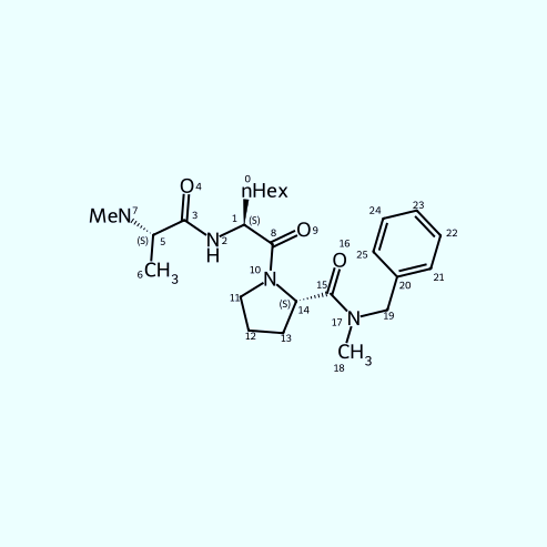 CCCCCC[C@H](NC(=O)[C@H](C)NC)C(=O)N1CCC[C@H]1C(=O)N(C)Cc1ccccc1